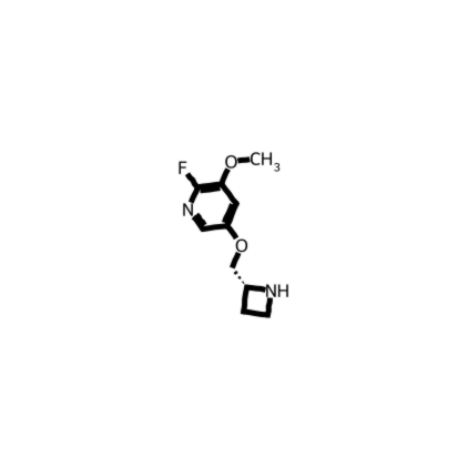 COc1cc(OC[C@H]2CCN2)cnc1F